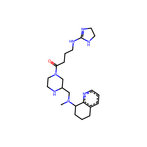 CN(CC1CN(C(=O)CCCNC2=NCCN2)CCN1)C1CCCc2cccnc21